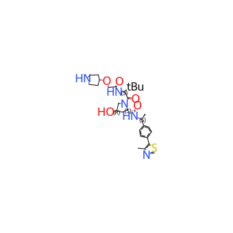 Cc1ncsc1-c1ccc([C@H](C)NC(=O)[C@@H]2C[C@@H](O)CN2C(=O)[C@@H](NC(=O)COC2CCNCC2)C(C)(C)C)cc1